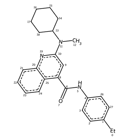 CCc1ccc(NC(=O)c2cc(N(C)C3CCCCC3)nc3ccccc23)cc1